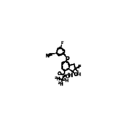 [2H]C([2H])([2H])S(=O)(=O)c1ccc(Oc2cc(F)cc(C#N)c2)c2c1[C@]([2H])(O)C(F)(F)C2